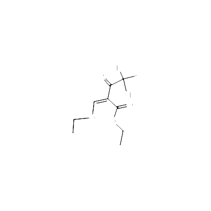 CCO/C=C(\C(=O)OCC)C(=O)C(F)(F)Cl